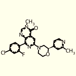 Cc1cc([C@@H]2CN(c3cc4c(=O)n(C)cnc4c(-c4ccc(Cl)cc4F)n3)CCO2)ccn1